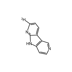 [2H]c1ccc2c(n1)[nH]c1ccncc12